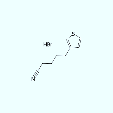 Br.N#CCCCCc1ccsc1